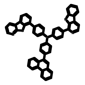 c1ccc2c(c1)cc(-c1ccc(N(c3ccc(-c4nccc5c4oc4ccccc45)cc3)c3ccc(-c4cccc5c4oc4ncccc45)cc3)cc1)c1ccccc12